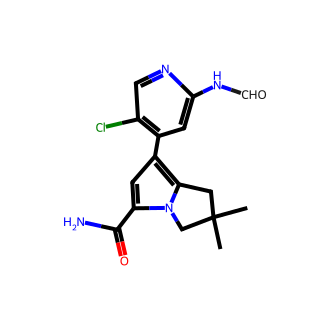 CC1(C)Cc2c(-c3cc(NC=O)ncc3Cl)cc(C(N)=O)n2C1